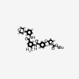 Cc1ccc(C(=O)Nc2cccc(N3CCOCC3)c2)cc1NC(=O)c1cccc(OC2CCN(C(=O)OC(C)(C)C)C2)c1